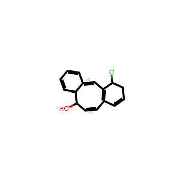 OC1/C=C\C2=C(/C=C3/C=CC=CC31)C(Cl)CC=C2